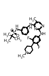 Cc1cnc(Nc2cc(F)c(C3CCN(C)CC3)c(F)c2)nc1Nc1cccc(NS(=O)(=O)C(C)(C)C)c1